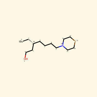 CC(C)(C)C[C@@H](CCO)CCCCN1CCSCC1